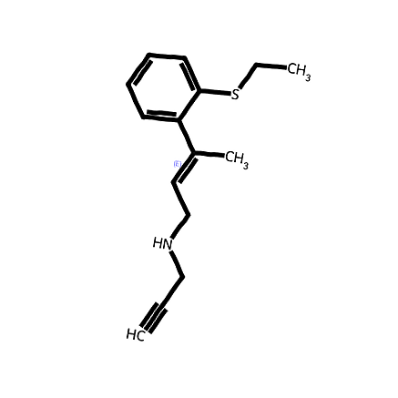 C#CCNC/C=C(\C)c1ccccc1SCC